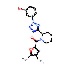 Cc1cc(C(=O)N2CCCCC2c2nnn(-c3cccc(Br)c3)n2)oc1C